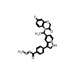 CC(C1=CC2=C(c3ccc(C(=O)N=NN)cc3)CNN2C=C1)N1C(=O)COc2cc(F)ccc21